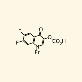 CCn1cc(OC(=O)O)c(=O)c2cc(F)c(F)cc21